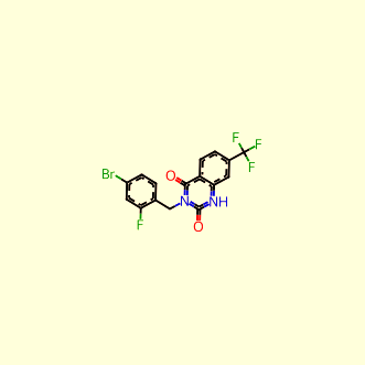 O=c1[nH]c2cc(C(F)(F)F)ccc2c(=O)n1Cc1ccc(Br)cc1F